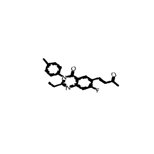 CCc1nc2cc(F)c(/C=C/C(C)=O)cc2c(=O)n1-c1ccc(C)cc1